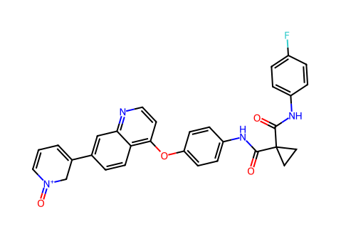 O=C(Nc1ccc(F)cc1)C1(C(=O)Nc2ccc(Oc3ccnc4cc(C5=CC=C[N+](=O)C5)ccc34)cc2)CC1